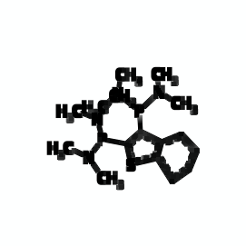 CN(C)P(c1sc2ccccc2c1P(N(C)C)N(C)C)N(C)C